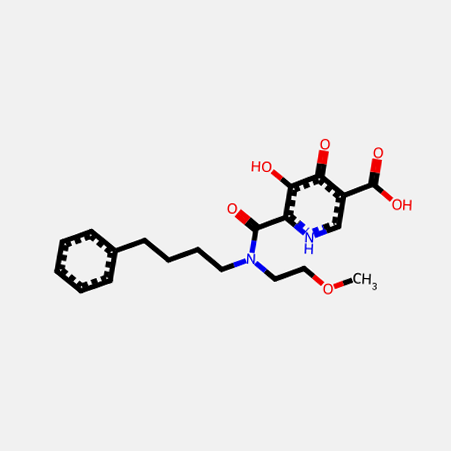 COCCN(CCCCc1ccccc1)C(=O)c1[nH]cc(C(=O)O)c(=O)c1O